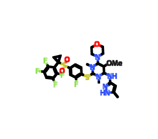 COC1C(Nc2cc(C)[nH]n2)N(C)C(Sc2ccc(S(=O)(=O)C3(c4c(F)c(F)cc(F)c4F)CC3)cc2F)N(C)C1N1CCOCC1